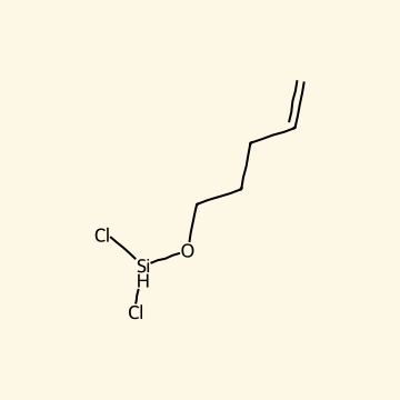 C=CCCCO[SiH](Cl)Cl